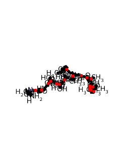 C=Nc1c(/N=C\CCNc2ccc(C(=O)NCCCC(=O)NC(CC(=O)O)C(=O)NCC(=O)NC(CC(=O)O)C(=O)NCC(=O)NC(CSSC(C)C(C)OC(=O)N(CCC#Cc3cccc4c3CN(C(C)CCC)C4=O)CCCOCCCNC(=O)c3ccc(Nc4ncc(N(C)C)c(N(C(C=O)CC)C5CCCC5)n4)c(OC)c3)C(=O)O)cc2)nc(N)[nH]c1=O